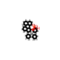 O=P1(O)Oc2ccc3ccccc3c2-c2c(c([Si](c3ccccc3)(c3ccccc3)c3ccccc3)cc3ccccc23)O1